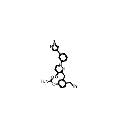 CC(C)Cc1ccc(OC(N)=O)cc1Cc1nn(-c2cccc(-c3cnn(C)c3)c2)ccc1=O